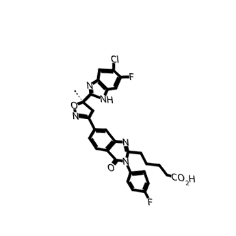 C[C@]1(c2nc3cc(Cl)c(F)cc3[nH]2)CC(c2ccc3c(=O)n(-c4ccc(F)cc4)c(CCCCC(=O)O)nc3c2)=NO1